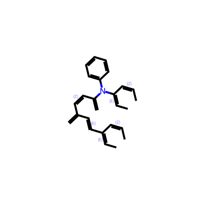 C=C(/C=C\C(=C)N(C(/C=C\C)=C/C)c1ccccc1)/C=C/C(/C=C\C)=C/C